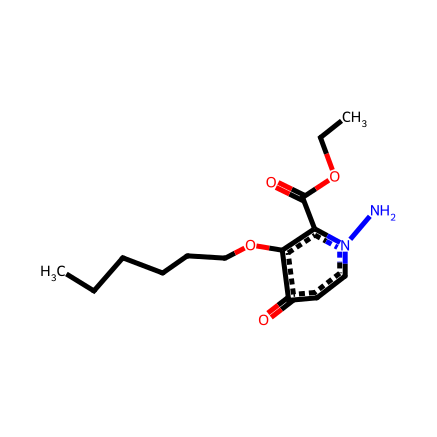 CCCCCCOc1c(C(=O)OCC)n(N)ccc1=O